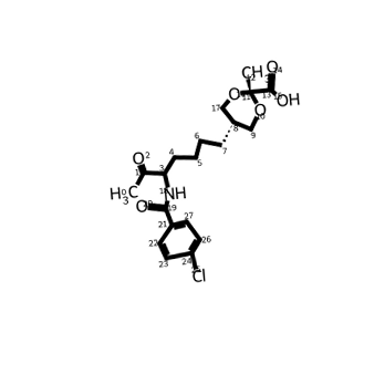 CC(=O)C(CCCC[C@H]1CO[C@@](C)(C(=O)O)OC1)NC(=O)c1ccc(Cl)cc1